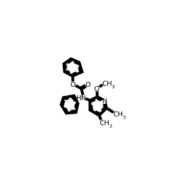 COc1nc(C)c(C)cc1NC(=O)Oc1ccccc1.c1ccccc1